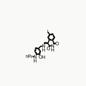 CCCNc1ccc(CNC=C2C(=O)NC(=O)c3ccc(I)cc32)cc1O